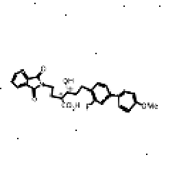 COc1ccc(-c2ccc(CC[C@@H](O)[C@H](CCN3C(=O)c4ccccc4C3=O)C(=O)O)c(F)c2)cc1